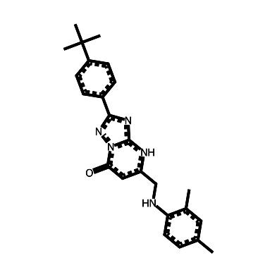 Cc1ccc(NCc2cc(=O)n3nc(-c4ccc(C(C)(C)C)cc4)nc3[nH]2)c(C)c1